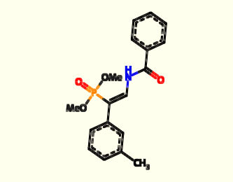 COP(=O)(OC)C(=CNC(=O)c1ccccc1)c1cccc(C)c1